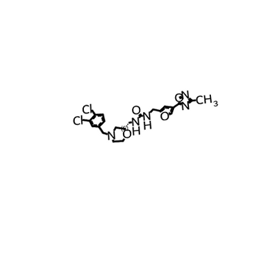 Cc1noc(-c2coc(CNC(=O)NC[C@H]3CN(Cc4ccc(Cl)c(Cl)c4)CCO3)c2)n1